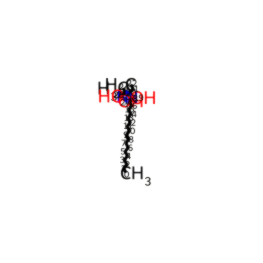 CCCCCCCCC=CCCCCCCCCN(O)C(CC)C(C)N(O)O